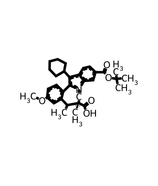 COc1ccc2c(c1)C(C)[C@@](C)(C(=O)O)Cn1c-2c(C2CCCCC2)c2ccc(C(=O)OC(C)(C)C)cc21